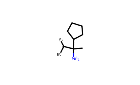 CC[C](CC)C(C)(N)C1CCCC1